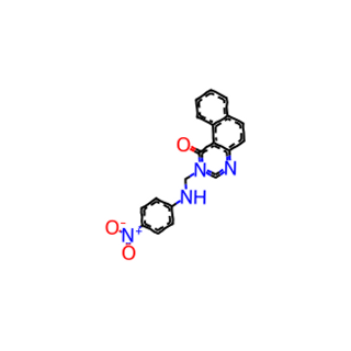 O=c1c2c(ccc3ccccc32)ncn1CNc1ccc([N+](=O)[O-])cc1